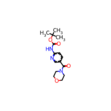 CC(C)(C)OC(=O)Nc1ccc(C(=O)N2CCOCC2)cn1